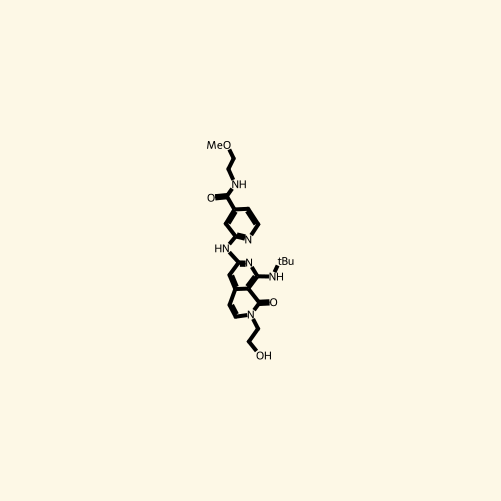 COCCNC(=O)c1ccnc(Nc2cc3ccn(CCO)c(=O)c3c(NC(C)(C)C)n2)c1